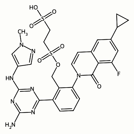 Cn1cc(Nc2nc(N)nc(-c3cccc(-n4ccc5cc(C6CC6)cc(F)c5c4=O)c3COS(=O)(=O)CCS(=O)(=O)O)n2)cn1